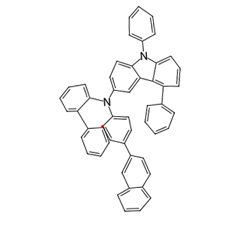 c1ccc(-c2ccccc2N(c2ccc(-c3ccc4ccccc4c3)cc2)c2ccc3c(c2)c2c(-c4ccccc4)cccc2n3-c2ccccc2)cc1